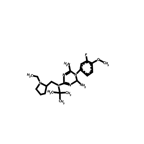 CCN1CCCC1CN(C1=NC(N)N(c2ccc(OC)c(F)c2)C(N)=N1)C(C)(C)C